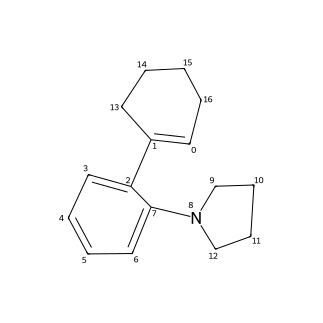 C1=C(c2ccccc2N2CCCC2)CCCC1